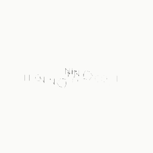 CN1CCN(c2cccc3c2CCNC3C(=O)Nc2ccc(C(=O)O)cc2)CC1